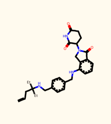 C=CCC(CC)(CC)NCc1ccc(CNc2cccc3c2CN(C2CCC(=O)NC2=O)C3=O)cc1